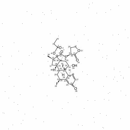 CCC(=O)O[C@@]1(C(=O)S[C@H]2CCOC2=O)[C@H](C)C[C@H]2[C@@H]3C[C@H](F)C4=CC(=O)C=C[C@]4(C)[C@@]3(F)[C@@H](O)C[C@@]21C